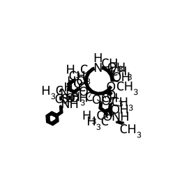 CCCNC[C@]1(O)[C@H](C)O[C@@H](O[C@H]2[C@H](C)[C@@H](O[C@@H]3O[C@H](C)C[C@H](N(C)S(=O)(=O)NCCc4ccccc4)[C@H]3O)[C@](C)(O)C[C@@H](C)CN[C@H](C)[C@@H](O)[C@](C)(O)[C@@H](CC)OC(=O)[C@@H]2C)C[C@@]1(C)OC